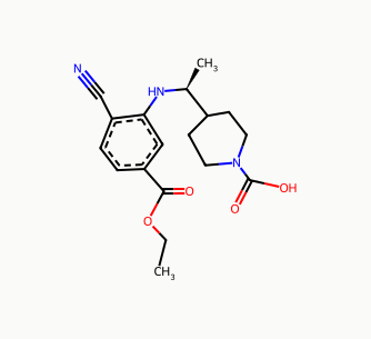 CCOC(=O)c1ccc(C#N)c(N[C@@H](C)C2CCN(C(=O)O)CC2)c1